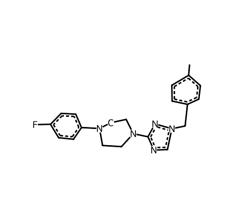 Cc1ccc(Cn2cnc(N3CCN(c4ccc(F)cc4)CC3)n2)cc1